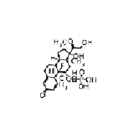 C[C@H]1C[C@H]2[C@@H]3CCC4=CC(=O)C=C[C@]4(C)[C@@]3(F)[C@@H](O)C[C@]2(C)[C@@]1(O)C(=O)CO.O=P(O)(O)O